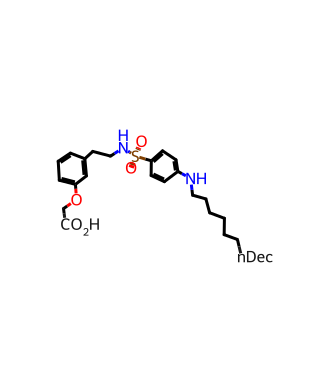 CCCCCCCCCCCCCCCCNc1ccc(S(=O)(=O)NCCc2cccc(OCC(=O)O)c2)cc1